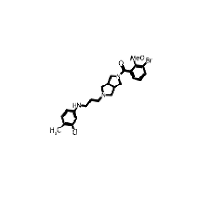 COc1c(Br)cccc1C(=O)N1CC2CN(CCCNc3ccc(C)c(Cl)c3)CC2C1